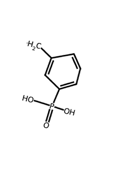 [CH2]c1cccc(P(=O)(O)O)c1